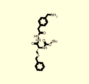 CC(C)(C)OC(=O)N[C@H](CSCc1ccccc1)C(=O)NNC(=O)Cc1ccc(CN)cc1